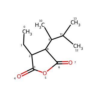 CCC1C(=O)OC(=O)C1C(C)C(C)C